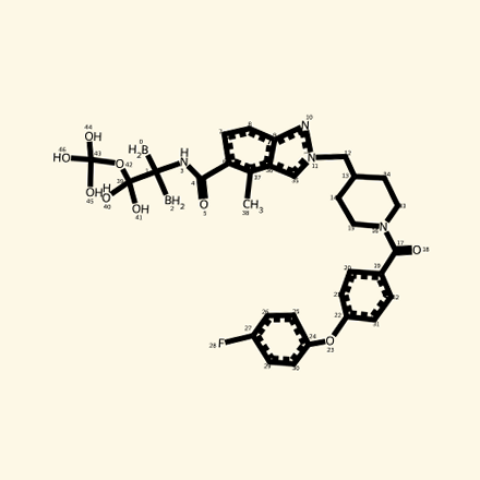 BC(B)(NC(=O)c1ccc2nn(CC3CCN(C(=O)c4ccc(Oc5ccc(F)cc5)cc4)CC3)cc2c1C)C(O)(O)OC(O)(O)O